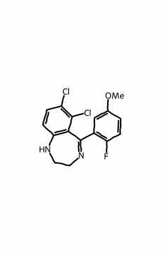 COc1ccc(F)c(C2=NCCNc3ccc(Cl)c(Cl)c32)c1